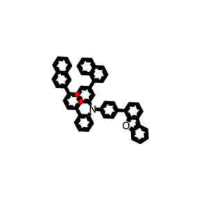 c1cc(-c2cccc3ccccc23)cc(N(c2ccc(-c3cccc4c3oc3ccccc34)cc2)c2ccccc2-c2ccc(-c3ccc4ccccc4c3)cc2)c1